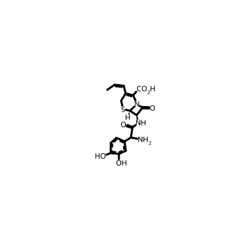 C/C=C\C1=C(C(=O)O)N2C(=O)[C@@H](NC(=O)C(N)c3ccc(O)c(O)c3)[C@H]2SC1